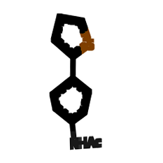 CC(=O)Nc1ccc(-c2cccs2)cc1